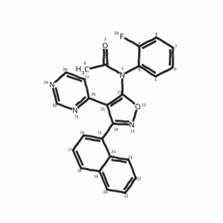 CC(=O)N(c1ccccc1F)c1onc(-c2cccc3ccccc23)c1-c1ccncn1